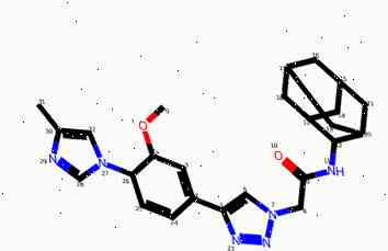 COC1C=C(c2cn(CC(=O)NC3C4CC5CC(C4)CC3C5)nn2)C=CC1n1cnc(C)c1